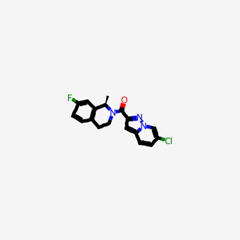 C[C@@H]1c2cc(F)ccc2CCN1C(=O)c1cc2ccc(Cl)cn2n1